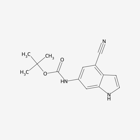 CC(C)(C)OC(=O)Nc1cc(C#N)c2cc[nH]c2c1